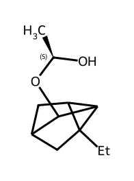 CCC12CC3CC1C2C3O[C@@H](C)O